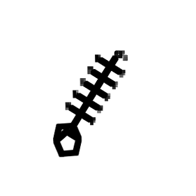 FC(F)(F)C(F)(F)C(F)(F)C(F)(F)C(F)(F)C(F)(F)C1=C2CCC(C2)C1